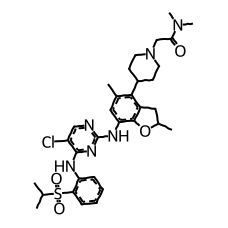 Cc1cc(Nc2ncc(Cl)c(Nc3ccccc3S(=O)(=O)C(C)C)n2)c2c(c1C1CCN(CC(=O)N(C)C)CC1)CC(C)O2